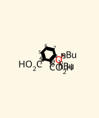 CCCCOCCCC.O=C(O)c1ccccc1C(=O)O